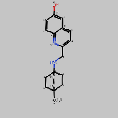 O=C(O)C12CCC(NCc3ccc4cc(O)ccc4n3)(CC1)CC2